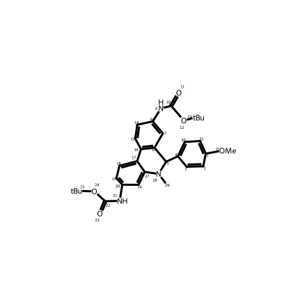 COc1ccc(C2c3cc(NC(=O)OC(C)(C)C)ccc3-c3ccc(NC(=O)OC(C)(C)C)cc3N2C)cc1